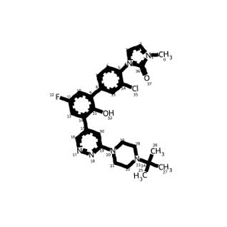 Cn1ccn(-c2ccc(-c3cc(F)cc(-c4cnnc(N5CCN(C(C)(C)C)CC5)c4)c3O)cc2Cl)c1=O